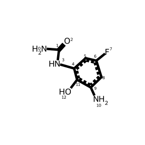 NC(=O)Nc1cc(F)cc(N)c1O